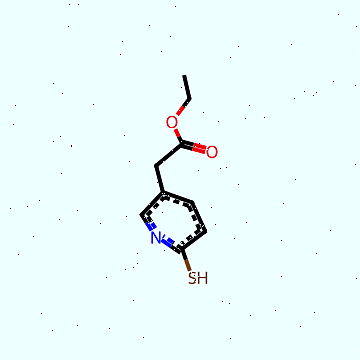 CCOC(=O)Cc1ccc(S)nc1